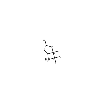 BC(C)(C)C(C)(CC)CCC